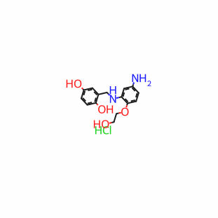 Cl.Nc1ccc(OCCO)c(NCc2cc(O)ccc2O)c1